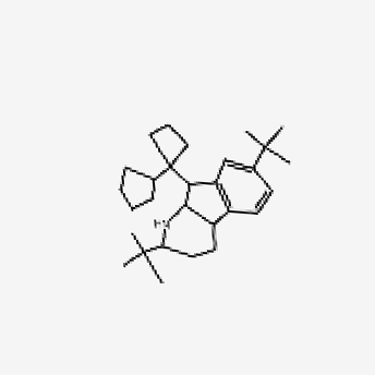 CC(C)(C)c1ccc2c(c1)C(C1(C3CCCC3)CCC1)C1NC(C(C)(C)C)CCC21